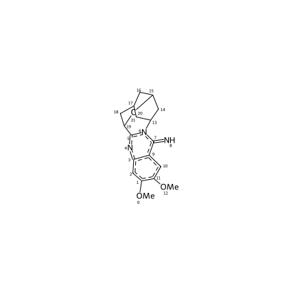 COc1cc2nc3n(c(=N)c2cc1OC)C1CC2CC(CC3C2)C1